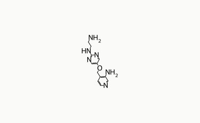 NCCNc1ncc(OCc2ccncc2N)cn1